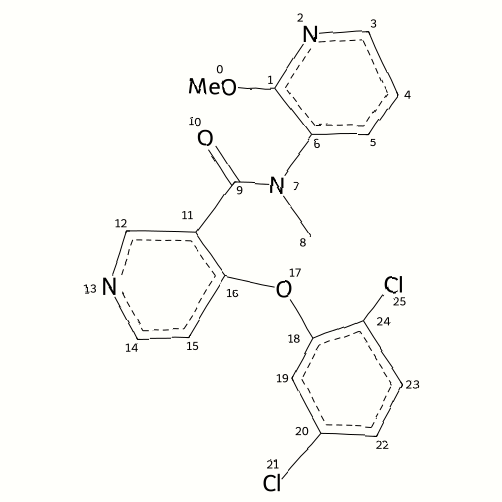 COc1ncccc1N(C)C(=O)c1cnccc1Oc1cc(Cl)ccc1Cl